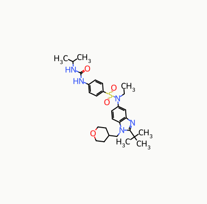 CCN(c1ccc2c(c1)nc(C(C)(C)C)n2CC1CCOCC1)S(=O)(=O)c1ccc(NC(=O)NC(C)C)cc1